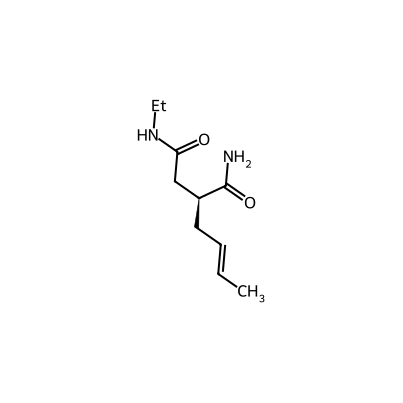 C/C=C/C[C@@H](CC(=O)NCC)C(N)=O